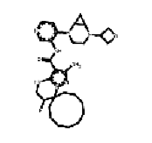 Nc1nn2c(c1C(=O)Nc1cnccc1N1CCN(C3COC3)C3CC31)NCC(F)C21CCCCCCCCC1